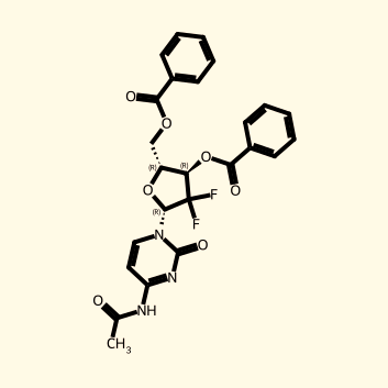 CC(=O)Nc1ccn([C@@H]2O[C@H](COC(=O)c3ccccc3)[C@@H](OC(=O)c3ccccc3)C2(F)F)c(=O)n1